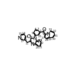 O=C(c1cccc(-n2c(=O)c(Cc3cccnc3)nc3cccnc32)c1)c1ccc2ccccn12